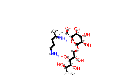 NCCCC(N)C(=O)O.O=C[C@H](O)[C@@H](O)[C@H](O)[C@H](O)CO[C@H]1O[C@H](CO)[C@@H](O)[C@H](O)[C@H]1O